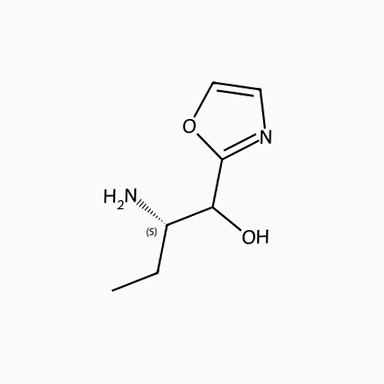 CC[C@H](N)C(O)c1ncco1